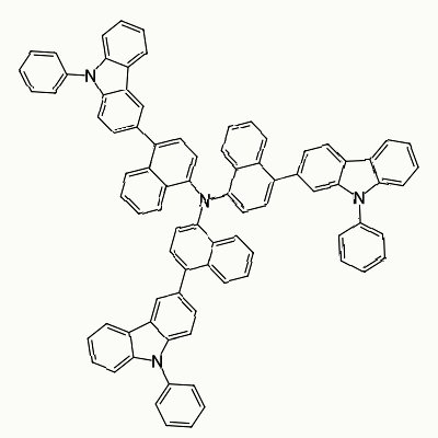 c1ccc(-n2c3ccccc3c3cc(-c4ccc(N(c5ccc(-c6ccc7c(c6)c6ccccc6n7-c6ccccc6)c6ccccc56)c5ccc(-c6ccc7c8ccccc8n(-c8ccccc8)c7c6)c6ccccc56)c5ccccc45)ccc32)cc1